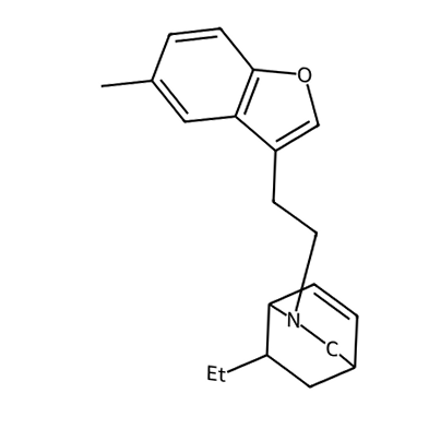 CCC1CC2C=CC1N(CCc1coc3ccc(C)cc13)C2